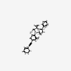 O=C1N(c2c(F)cc(C#Cc3ccccc3)cc2F)c2ncc(-c3cncnc3)n2C12CC2